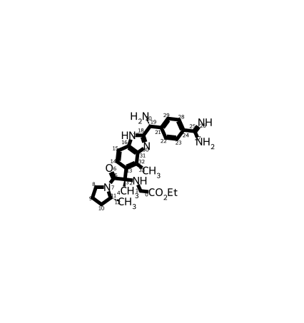 CCOC(=O)CN[C@](C)(C(=O)N1CCC[C@H]1C)c1ccc2[nH]c([C@H](N)c3ccc(C(=N)N)cc3)nc2c1C